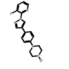 [O-][S+]1CCN(c2ccc(-c3cnn(-c4ncccc4F)c3)cc2)CC1